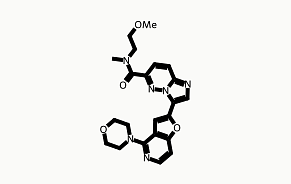 COCCN(C)C(=O)c1ccc2ncc(-c3cc4c(N5CCOCC5)nccc4o3)n2n1